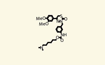 COc1ccc(C2=NN(Cc3cccc(NC(=O)OCCCCCCN(C)C)c3)C(=O)SC2)cc1OC